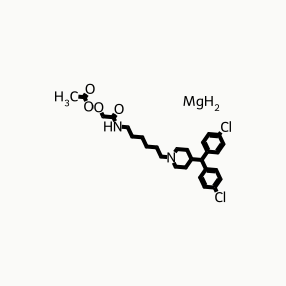 CC(=O)OOCC(=O)NCCCCCCN1CCC(C(c2ccc(Cl)cc2)c2ccc(Cl)cc2)CC1.[MgH2]